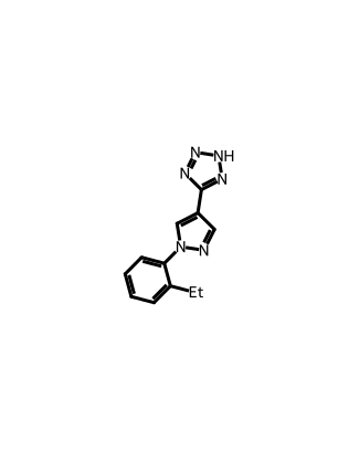 CCc1ccccc1-n1cc(-c2nn[nH]n2)cn1